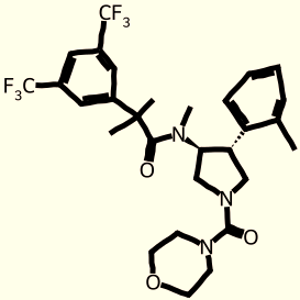 Cc1ccccc1[C@@H]1CN(C(=O)N2CCOCC2)C[C@H]1N(C)C(=O)C(C)(C)c1cc(C(F)(F)F)cc(C(F)(F)F)c1